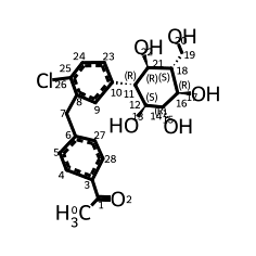 CC(=O)c1ccc(Cc2cc([C@H]3[C@H](O)[C@@H](O)[C@H](O)[C@@H](CO)[C@@H]3O)ccc2Cl)cc1